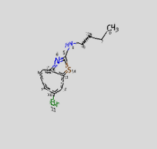 CCCCNc1nc2ccc(Br)cc2s1